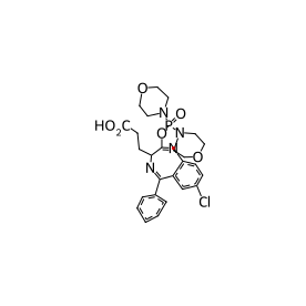 O=C(O)CCC1N=C(c2ccccc2)c2cc(Cl)ccc2N=C1OP(=O)(N1CCOCC1)N1CCOCC1